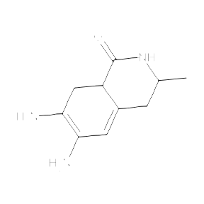 CC1CC2=CC(N)=C(N)CC2C(=O)N1